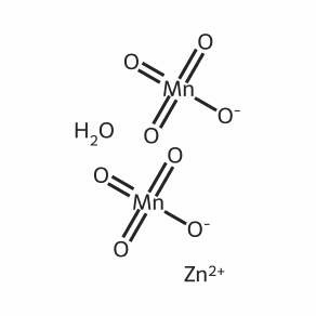 O.[O]=[Mn](=[O])(=[O])[O-].[O]=[Mn](=[O])(=[O])[O-].[Zn+2]